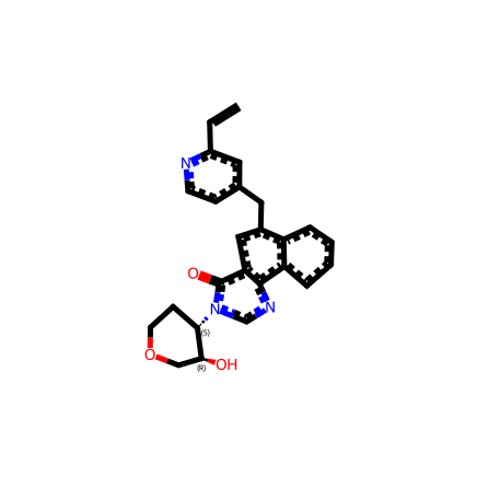 C=Cc1cc(Cc2cc3c(=O)n([C@H]4CCOC[C@@H]4O)cnc3c3ccccc23)ccn1